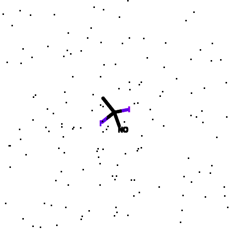 CC(I)(I)N=O